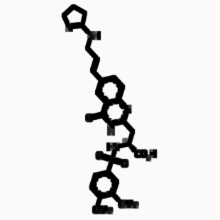 COc1ccc(S(=O)(=O)N[C@@H](Cc2nc3ccc(C=CCNC4=NCCC4)cc3c(=O)[nH]2)C(=O)O)cc1OC